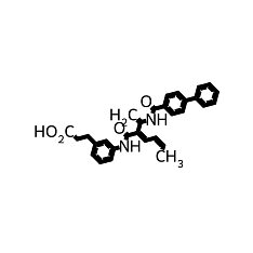 C=C(NC(=O)c1ccc(-c2ccccc2)cc1)/C(=C\C=C/C)C(=O)Nc1cccc(CCC(=O)O)c1